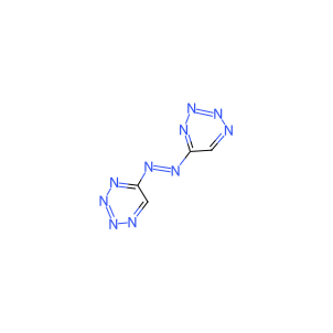 c1nnnnc1N=Nc1cnnnn1